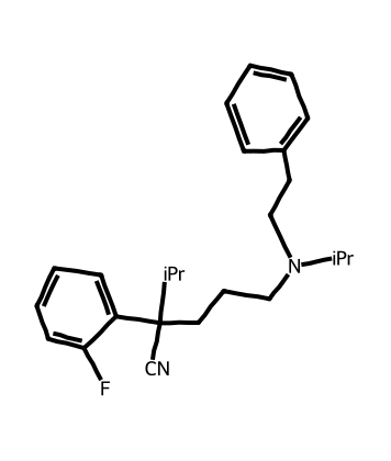 CC(C)N(CCCC(C#N)(c1ccccc1F)C(C)C)CCc1ccccc1